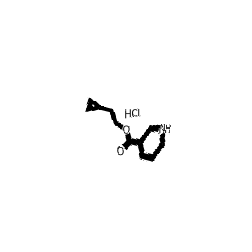 Cl.O=C(OCCC1CC1)C1CCCNC1